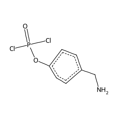 NCc1ccc(OP(=O)(Cl)Cl)cc1